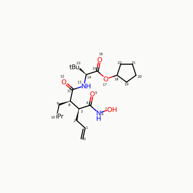 C=CC[C@H](C(=O)NO)[C@@H](CC(C)C)C(=O)N[C@H](C(=O)OC1CCCC1)C(C)(C)C